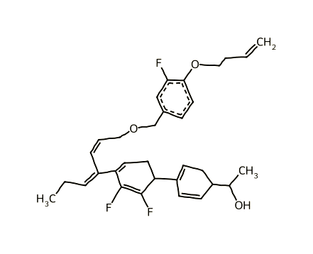 C=CCCOc1ccc(COC/C=C\C(=C/CC)C2=CCC(C3=CCC(C(C)O)C=C3)C(F)=C2F)cc1F